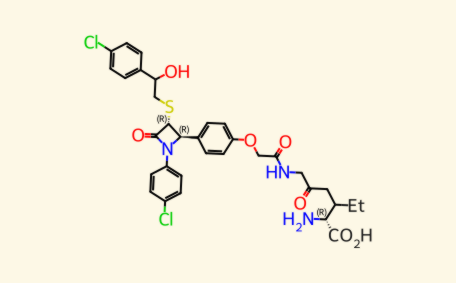 CCC(CC(=O)CNC(=O)COc1ccc([C@@H]2[C@@H](SCC(O)c3ccc(Cl)cc3)C(=O)N2c2ccc(Cl)cc2)cc1)[C@@H](N)C(=O)O